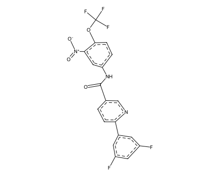 O=C(Nc1ccc(OC(F)(F)F)c([N+](=O)[O-])c1)c1ccc(-c2cc(F)cc(F)c2)nc1